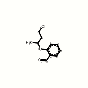 CC(CCCl)Oc1ccccc1C=O